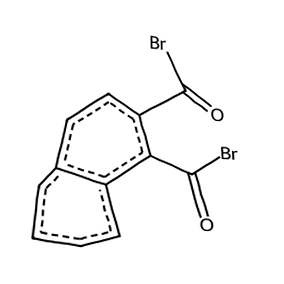 O=C(Br)c1ccc2ccccc2c1C(=O)Br